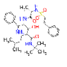 CC(C)CCC(C(=O)NC(C)(C)C)[C@@H](O)[C@@H](NC(=O)[C@H](C)NS(=O)(=O)C=Cc1ccccc1)C(N)c1ccccc1